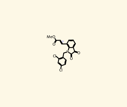 COC(=O)/C=C/c1cccc2c1N(Cc1ccc(Cl)cc1Cl)C(=O)C2=O